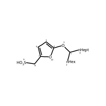 CCCCCCCC(CCCCCC)Oc1ccc(CS(=O)(=O)O)o1